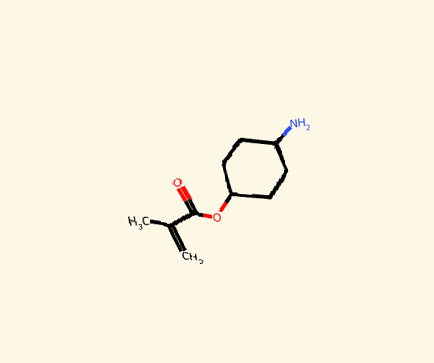 C=C(C)C(=O)OC1CCC(N)CC1